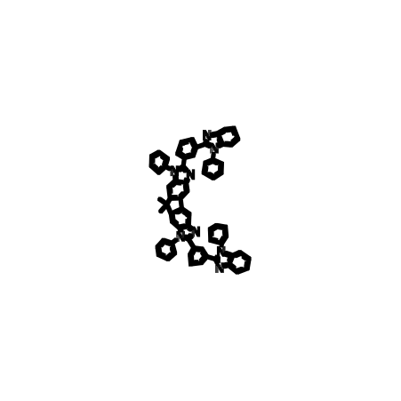 CC1(C)c2cc3c(cc2-c2cc4nc(-c5cccc(-c6nc7ccccc7n6-c6ccccc6)c5)n(-c5ccccc5)c4cc21)nc(-c1cccc(-c2nc4ccccc4n2-c2ccccc2)c1)n3-c1ccccc1